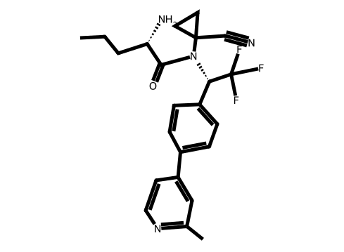 CCC[C@H](N)C(=O)N([C@@H](c1ccc(-c2ccnc(C)c2)cc1)C(F)(F)F)C1(C#N)CC1